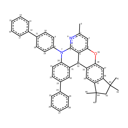 Cc1cc2c3c(n1)N(c1ccc(-c4ccccc4)cc1)c1ccc(-c4ccccc4)cc1B3c1cc3c(cc1O2)C(C)(C)CC3(C)C